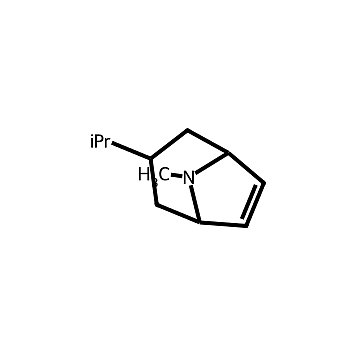 CC(C)C1CC2C=CC(C1)N2C